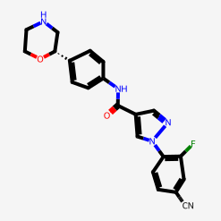 N#Cc1ccc(-n2cc(C(=O)Nc3ccc([C@H]4CNCCO4)cc3)cn2)c(F)c1